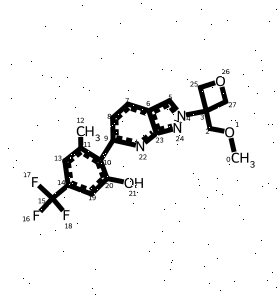 COCC1(n2cc3ccc(-c4c(C)cc(C(F)(F)F)cc4O)nc3n2)COC1